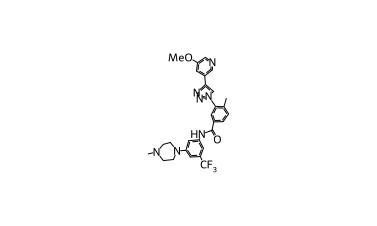 COc1cncc(-c2cn(-c3cc(C(=O)Nc4cc(N5CCN(C)CC5)cc(C(F)(F)F)c4)ccc3C)nn2)c1